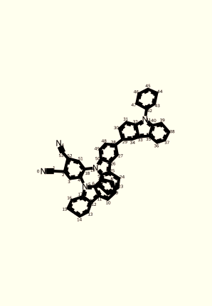 N#Cc1cc(-n2c3ccccc3c3ccccc32)c(-n2c3ccccc3c3cc(-c4ccc5c(c4)c4ccccc4n5-c4ccccc4)ccc32)cc1C#N